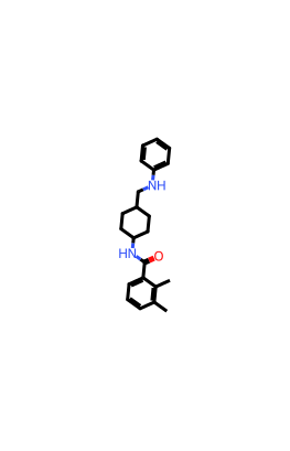 Cc1cccc(C(=O)NC2CCC(CNc3ccccc3)CC2)c1C